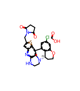 O=C1CCC(=O)N1Cc1cc2nccc(-c3cc(Cl)cc4c3[C@@H](N3CCNCC3)CCO4)c2s1.O=CO